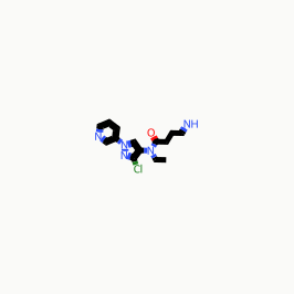 CCN(C(=O)CCC=N)c1cn(-c2cccnc2)nc1Cl